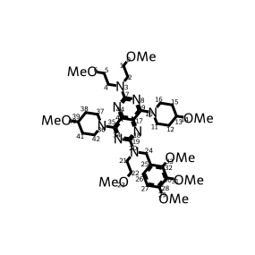 COCCN(CCOC)c1nc(N2CCC(OC)CC2)c2nc(N(CCOC)Cc3ccc(OC)c(OC)c3OC)nc(N3CCC(OC)CC3)c2n1